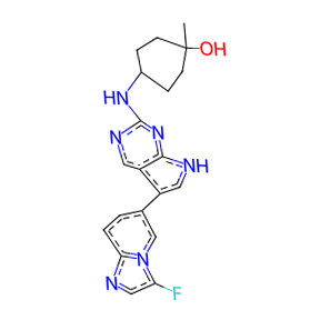 CC1(O)CCC(Nc2ncc3c(-c4ccc5ncc(F)n5c4)c[nH]c3n2)CC1